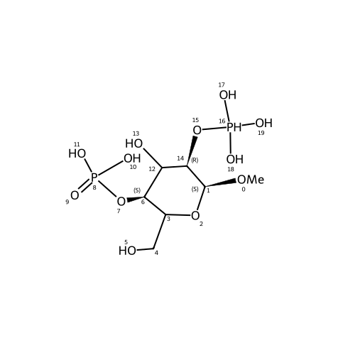 CO[C@H]1OC(CO)[C@@H](OP(=O)(O)O)C(O)[C@H]1O[PH](O)(O)O